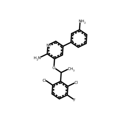 CC(Oc1cc(-c2cccc(N)c2)cnc1N)c1c(Cl)ccc(F)c1Cl